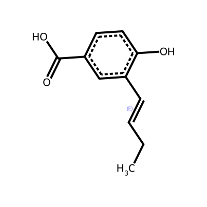 CC/C=C/c1cc(C(=O)O)ccc1O